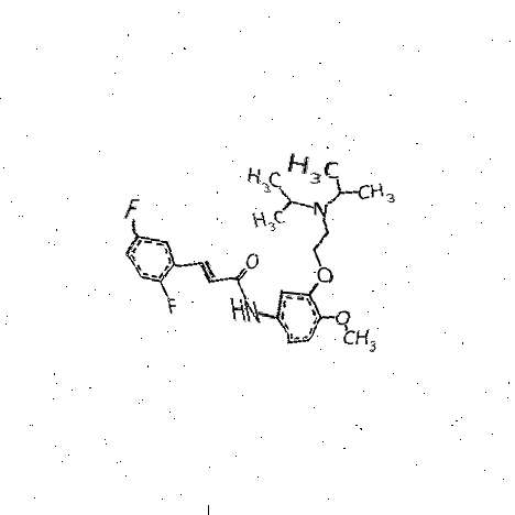 COc1ccc(NC(=O)C=Cc2cc(F)ccc2F)cc1OCCN(C(C)C)C(C)C